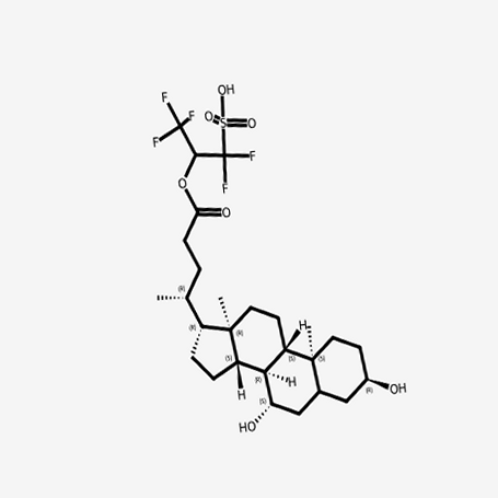 C[C@H](CCC(=O)OC(C(F)(F)F)C(F)(F)S(=O)(=O)O)[C@H]1CC[C@H]2[C@@H]3[C@@H](O)CC4C[C@H](O)CC[C@]4(C)[C@H]3CC[C@]12C